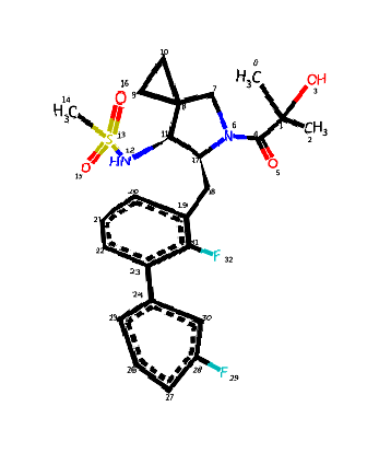 CC(C)(O)C(=O)N1CC2(CC2)[C@H](NS(C)(=O)=O)[C@@H]1Cc1cccc(-c2cccc(F)c2)c1F